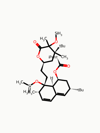 CCC[C@H](C)C(=O)O[C@H]1C[C@H](C(C)(C)C)C=C2C=C[C@H](C)[C@](CC[C@@H]3C[C@](C)(C(C)(C)C)C(C)(O[SiH3])C(=O)O3)(O[SiH](C)C)[C@H]21